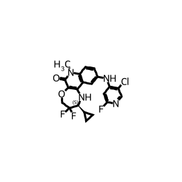 Cn1c(=O)c2c(c3cc(Nc4cc(F)ncc4Cl)ccc31)N[C@@H](C1CC1)C(F)(F)CO2